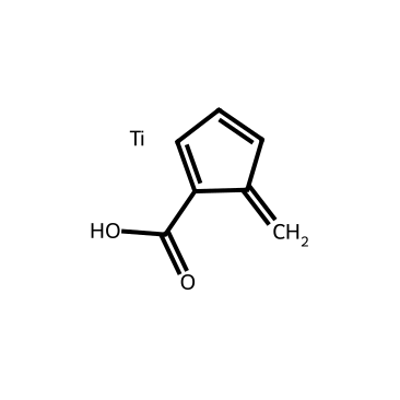 C=C1C=CC=C1C(=O)O.[Ti]